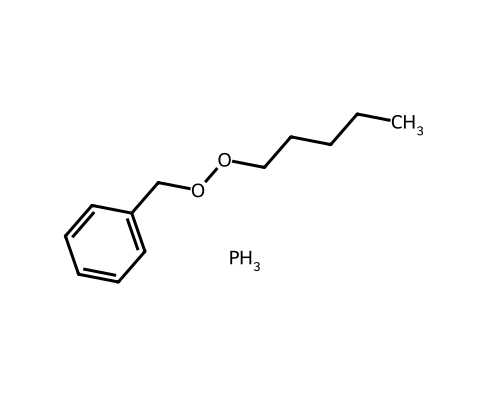 CCCCCOOCc1ccccc1.P